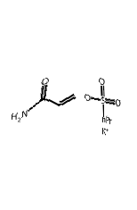 C=CC(N)=O.CCCS(=O)(=O)[O-].[K+]